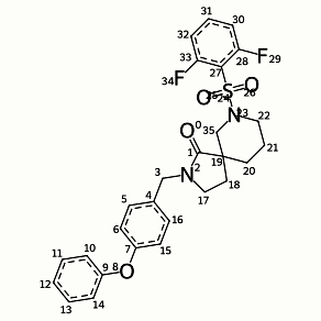 O=C1N(Cc2ccc(Oc3ccccc3)cc2)CCC12CCCN(S(=O)(=O)c1c(F)cccc1F)C2